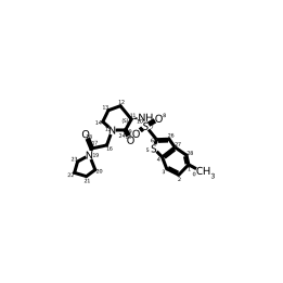 Cc1ccc2sc(S(=O)(=O)N[C@H]3CCCN(CC(=O)N4CCCC4)C3=O)cc2c1